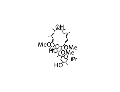 CO/C1=C\C(C)=C\[C@@H](C)[C@@H](O)[C@@H](C)C/C(C)=C/C=C/[C@H](OC)[C@@H]([C@@H](C)[C@@H](O)[C@H](C)[C@@]2(OC)C[C@@H](O)[C@H](C)[C@@H](C(C)C)O2)OC1=O